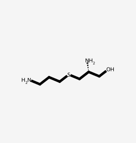 NCCCSC[C@H](N)CO